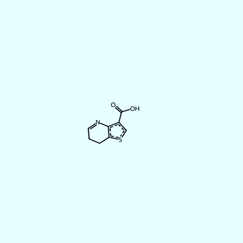 O=C(O)c1csc2c1N=CCC2